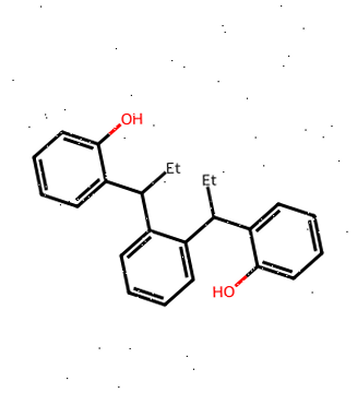 CCC(c1ccccc1O)c1ccccc1C(CC)c1ccccc1O